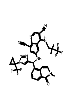 Cn1ccc2c([C@H](Nc3cc(C#N)c4ncc(C#N)c(NCC(C)(C)C(F)(F)F)c4c3)c3cn(C4(C(F)(F)F)CC4)nn3)cccc2c1=O